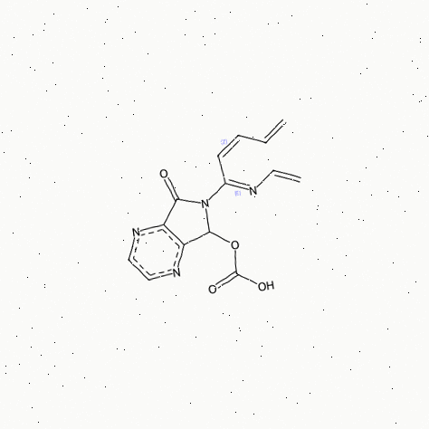 C=C/C=C\C(=N/C=C)N1C(=O)c2nccnc2C1OC(=O)O